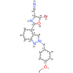 COc1ccc(Cn2cc3c(-c4nc(C#N)c(Br)o4)cccc3n2)cc1